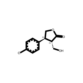 O=C1OC[C@H](c2ccc(Cl)cc2)[C@H]1CO